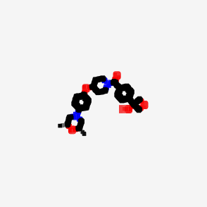 C[C@@H]1CN(c2ccc(OC3CCN(C(=O)c4ccc(C5(O)COC5)cc4)CC3)cc2)C[C@H](C)O1